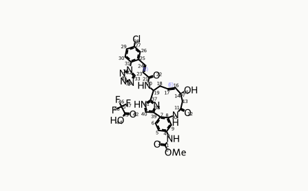 COC(=O)Nc1ccc2c(c1)NC(=O)C[C@H](O)/C=C/CC(NC(=O)/C=C/c1cc(Cl)ccc1-n1cnnn1)c1nc-2c[nH]1.O=C(O)C(F)(F)F